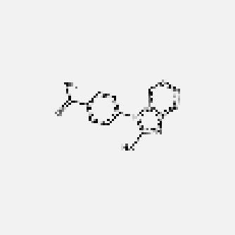 Cc1nc2ccccc2n1-c1ccc(C(N)=O)cc1